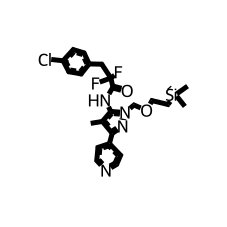 Cc1c(-c2ccncc2)nn(COCC[Si](C)(C)C)c1NC(=O)C(F)(F)Cc1ccc(Cl)cc1